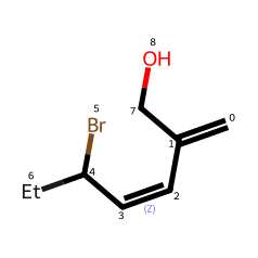 C=C(/C=C\C(Br)CC)CO